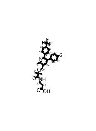 Cc1nc(-c2ccc(C(F)(F)F)cc2)c(-c2ccc(Cl)cc2)cc1COC(C)(C)C(=O)NCCC(=O)O